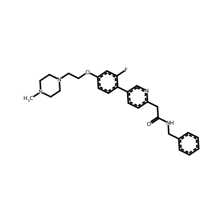 CN1CCN(CCOc2ccc(-c3ccc(CC(=O)NCc4ccccc4)nc3)c(F)c2)CC1